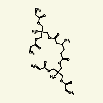 C=CC(=O)OCC(C)(COC(=O)C=C)COC(=O)CCC(C)CC(=O)OCC(C)(COC(=O)C=C)COC(=O)C=C